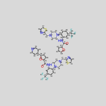 O=C(Nc1cc(C(F)(F)F)ccc1N1CCN(Cc2nccs2)CC1)c1ccc(-c2ccncc2)o1.O=C(Nc1cc(C(F)(F)F)ccc1N1CCN(Cc2nccs2)CC1)c1ccco1